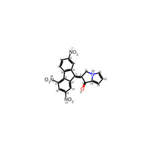 O=C1C(=C2c3cc([N+](=O)[O-])ccc3-c3c2cc([N+](=O)[O-])cc3[N+](=O)[O-])Cn2cccc21